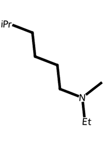 CCN(C)CCCCC(C)C